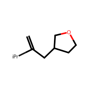 C=C(CC1CCOC1)C(C)C